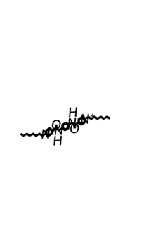 CCCCCCCC[n+]1ccc(C(=O)Nc2ccc(NC(=O)c3cc[n+](CCCCCCCC)cc3)cc2)cc1